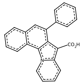 O=C(O)c1c2c(-c3ccccc3)cc3ccccc3c2n2ccccc12